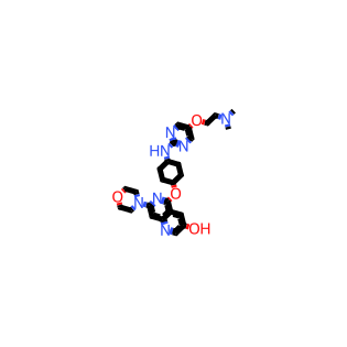 CN(C)CCOc1cnc(NC2CCC(Oc3nc(N4CCOCC4)cc4ncc(O)cc34)CC2)nc1